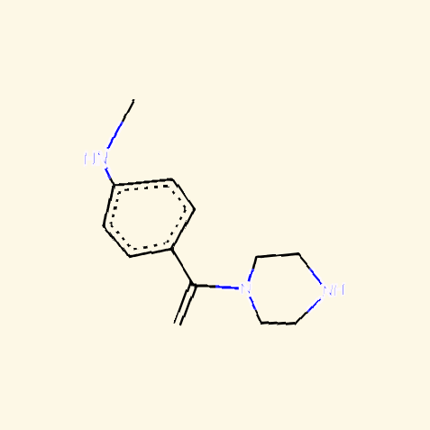 C=C(c1ccc(NC)cc1)N1CCNCC1